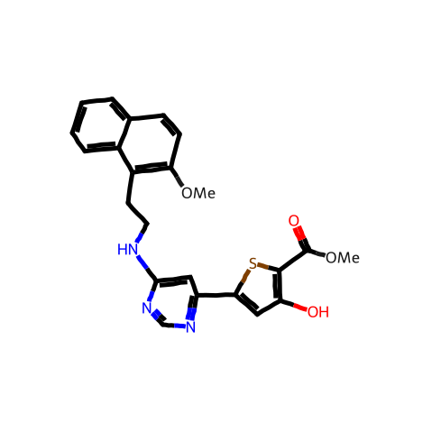 COC(=O)c1sc(-c2cc(NCCc3c(OC)ccc4ccccc34)ncn2)cc1O